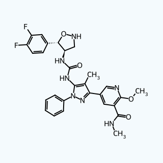 CNC(=O)c1cc(-c2nn(-c3ccccc3)c(NC(=O)N[C@@H]3CNO[C@H]3c3ccc(F)c(F)c3)c2C)cnc1OC